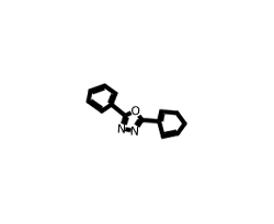 C1=CC(c2nnc(-c3ccccc3)o2)=CCC1